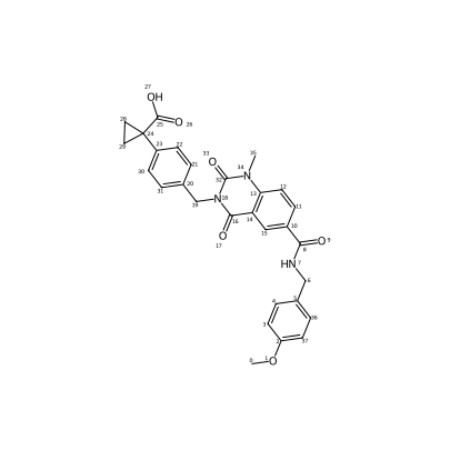 COc1ccc(CNC(=O)c2ccc3c(c2)c(=O)n(Cc2ccc(C4(C(=O)O)CC4)cc2)c(=O)n3C)cc1